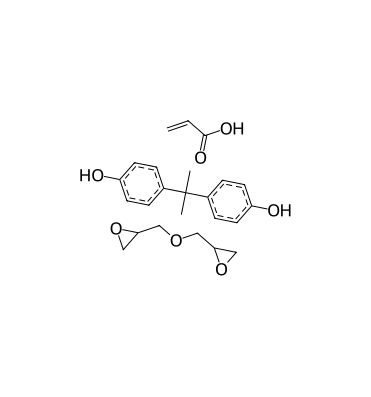 C(OCC1CO1)C1CO1.C=CC(=O)O.CC(C)(c1ccc(O)cc1)c1ccc(O)cc1